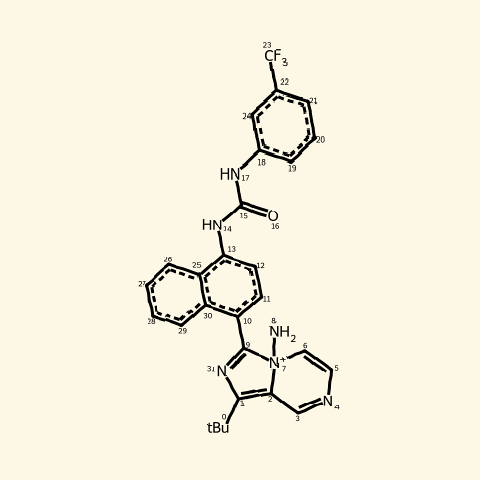 CC(C)(C)C1=C2C=NC=C[N+]2(N)C(c2ccc(NC(=O)Nc3cccc(C(F)(F)F)c3)c3ccccc23)=N1